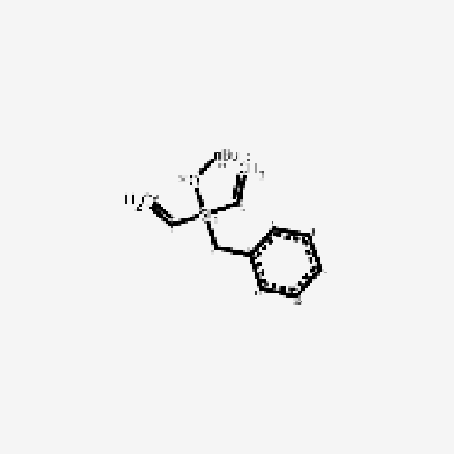 C=C[Si](C=C)(Cc1ccccc1)OCCCC